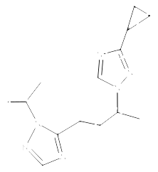 CC(CCc1ncnn1C(C)C)n1cnc(C2CC2)n1